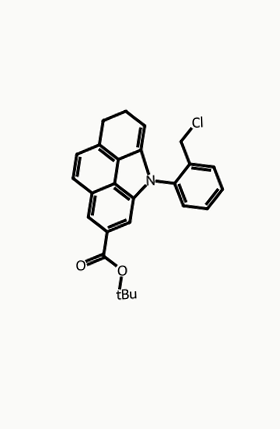 CC(C)(C)OC(=O)c1cc2ccc3c4c(n(-c5ccccc5CCl)c(c1)c24)=CCC3